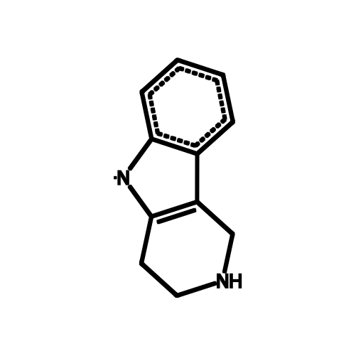 c1ccc2c(c1)[N]C1=C2CNCC1